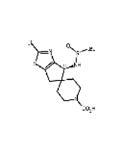 CC(C)(C)[S+]([O-])N[C@@H]1c2nc(Cl)sc2CC12CCN(C(=O)O)CC2